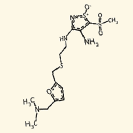 CN(C)Cc1ccc(CSCCNc2n[s+]([O-])c(S(C)(=O)=O)c2N)o1